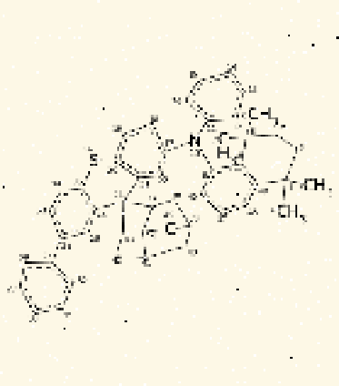 CC1(C)CCC(C)(C)c2c(N(c3ccccc3)c3ccc4c(c3)C3(c5cc(-c6ccccc6)ccc5S4)C4CC5CC6CC3C64C5)cccc21